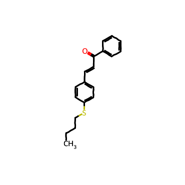 CCCCSc1ccc(/C=C/C(=O)c2ccccc2)cc1